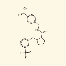 O=C(O)c1ccc(CNC(=O)C2CCCC2Cc2cccc(C(F)(F)F)c2)cc1